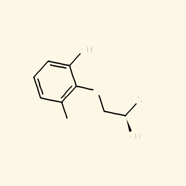 Cc1cccc(C)c1OC[C@H](C)N.Cl